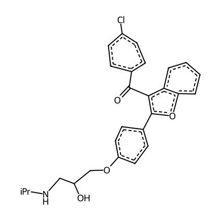 CC(C)NCC(O)COc1ccc(-c2oc3ccccc3c2C(=O)c2ccc(Cl)cc2)cc1